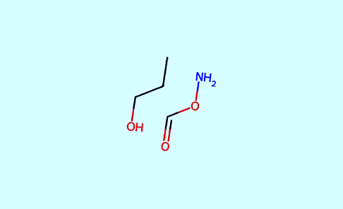 CCCO.NOC=O